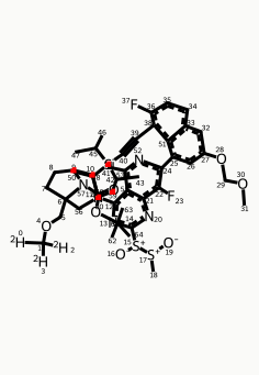 [2H]C([2H])([2H])OCC12CCC(CN(c3nc([S+]([O-])[S+](C)[O-])nc4c(F)c(-c5cc(OCOC)cc6ccc(F)c(C#C[Si](C(C)C)(C(C)C)C(C)C)c56)nc(C)c34)C1)N2C(=O)OC(C)(C)C